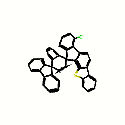 Clc1cccc2c1-c1ccc3c(sc4ccccc43)c1C21c2ccccc2C2(c3ccccc3-c3ccccc32)c2ccccc21